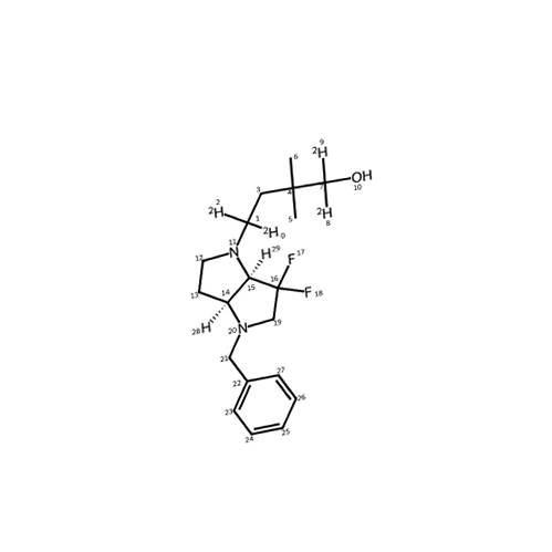 [2H]C([2H])(CC(C)(C)C([2H])([2H])O)N1CC[C@H]2[C@@H]1C(F)(F)CN2Cc1ccccc1